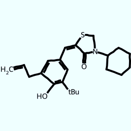 C=CCc1cc(C=C2SCN(C3CCCCC3)C2=O)cc(C(C)(C)C)c1O